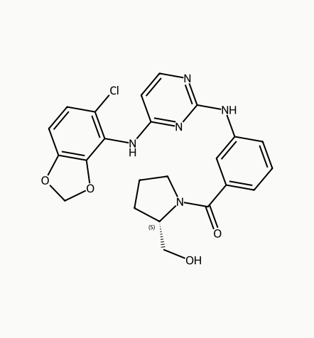 O=C(c1cccc(Nc2nccc(Nc3c(Cl)ccc4c3OCO4)n2)c1)N1CCC[C@H]1CO